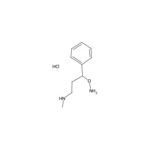 CNCCC(ON)c1ccccc1.Cl